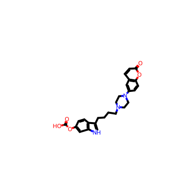 O=C(O)Oc1ccc2c(CCCCN3CCN(c4ccc5oc(=O)ccc5c4)CC3)c[nH]c2c1